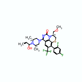 C=CC(O)N1[C@H](C)CN(c2nc(=O)n3c4c(c(-c5ccc(F)cc5F)c(C(F)(F)F)cc24)SC[C@@H]3COC)C[C@@H]1C